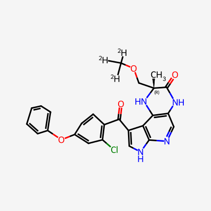 [2H]C([2H])([2H])OC[C@@]1(C)Nc2c(cnc3[nH]cc(C(=O)c4ccc(Oc5ccccc5)cc4Cl)c23)NC1=O